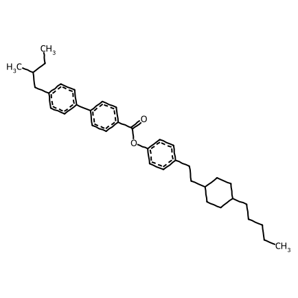 CCCCCC1CCC(CCc2ccc(OC(=O)c3ccc(-c4ccc(CC(C)CC)cc4)cc3)cc2)CC1